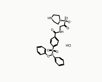 CC[N+]([O-])(C(=O)CNC(=O)c1ccc(S(=O)(=O)N(Oc2ccccc2)c2ccccc2)cc1)N1CCNCC1.Cl